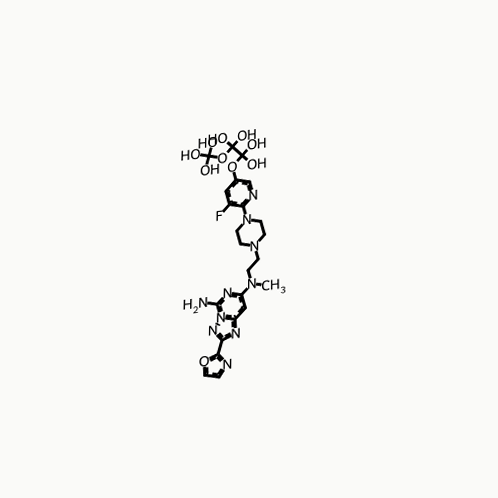 CN(CCN1CCN(c2ncc(OC(O)(O)C(O)(O)OC(O)(O)O)cc2F)CC1)c1cc2nc(-c3ncco3)nn2c(N)n1